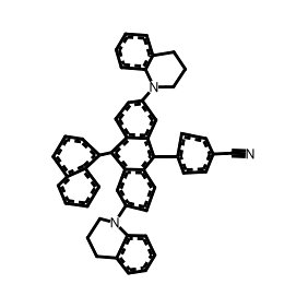 N#Cc1ccc(-c2c3cc(N4CCCc5ccccc54)ccc3c(-c3cccc4ccccc34)c3cc(N4CCCc5ccccc54)ccc23)cc1